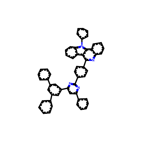 c1ccc(-c2cc(-c3ccccc3)cc(-c3cc(-c4ccccc4)nc(-c4ccc(-c5nc6ccccc6c6c5c5ccccc5n6-c5ccccc5)cc4)n3)c2)cc1